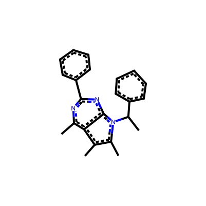 Cc1nc(-c2ccccc2)nc2c1c(C)c(C)n2C(C)c1ccccc1